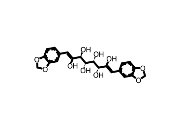 OC(=Cc1ccc2c(c1)OCO2)[C@@H](O)[C@@H](O)[C@H](O)[C@@H](O)C(O)=Cc1ccc2c(c1)OCO2